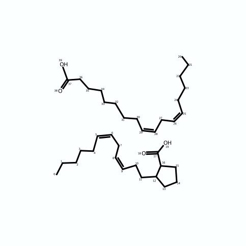 CCCCC/C=C\C/C=C\CCC1CCCC1C(=O)O.CCCCC/C=C\C/C=C\CCCCCCCC(=O)O